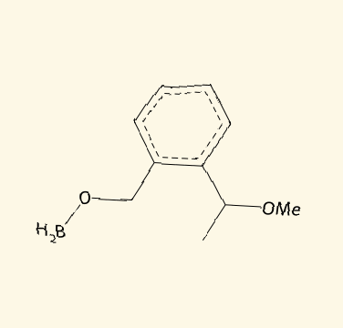 BOCc1ccccc1C(C)OC